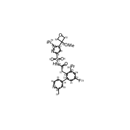 COC1(c2cc(S(=O)(=O)NC(=O)Cc3c(-c4ccnc(C)c4)cc(F)cc3C(C)C)nn2C(C)C)COC1